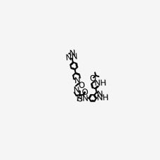 CS[C@@]1(C(=O)Nc2ccc3[nH]nc(C4=CNC(OC(C)C)C=C4)c3c2)CCN(CC(=O)N2CC=C(c3ccc(-c4ncn(C)n4)cc3)CC2)C1